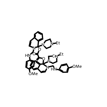 CCN1CCN(C2(OC(=O)C(=O)OC3(N4CCN(CC)CC4)c4ccccc4C=CN3CNc3ccc(OC)cc3)c3ccccc3C=CN2CNc2ccc(OC)cc2)CC1